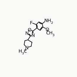 COc1cc(-c2nc(C3CCN(C)CC3)no2)c(F)cc1N